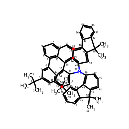 CC(C)(C)c1cc(-c2cccc3cccc(-c4ccccc4N(c4ccc5c(c4)C(C)(C)c4ccccc4-5)c4cccc5c4-c4ccccc4C5(C)C)c23)cc(C(C)(C)C)c1